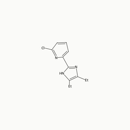 CCc1nc(-c2cccc(Cl)n2)[nH]c1CC